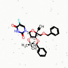 C#C[C@]1(COCc2ccccc2)O[C@@H](n2cc(F)c(=O)[nH]c2=O)[C@@H](O[Si](C)(C)C)[C@@H]1OCc1ccccc1